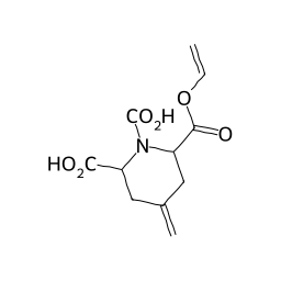 C=COC(=O)C1CC(=C)CC(C(=O)O)N1C(=O)O